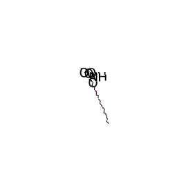 CCCCCCCCCCCCCCCCCCOCC(COC(C)=O)NC(C)=O